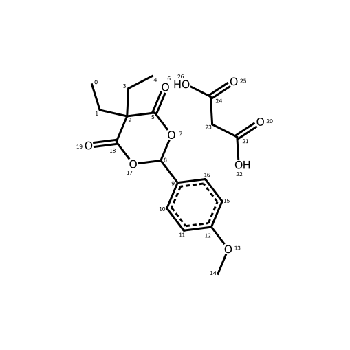 CCC1(CC)C(=O)OC(c2ccc(OC)cc2)OC1=O.O=C(O)CC(=O)O